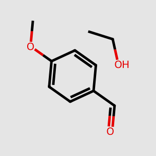 CCO.COc1ccc(C=O)cc1